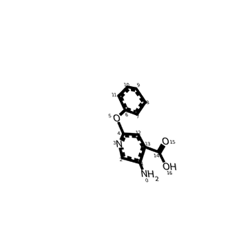 Nc1cnc(Oc2ccccc2)cc1C(=O)O